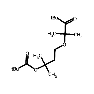 CC(C)(CCOC(C)(C)C(=O)C(C)(C)C)OC(=O)C(C)(C)C